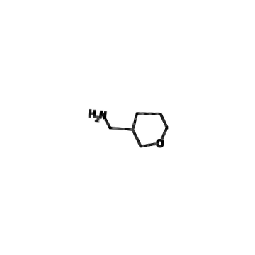 NCC1CCCOC1